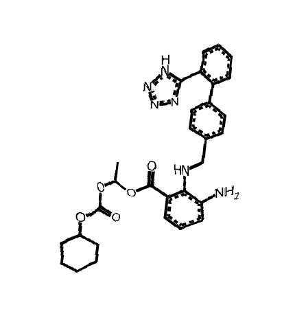 CC(OC(=O)OC1CCCCC1)OC(=O)c1cccc(N)c1NCc1ccc(-c2ccccc2-c2nnn[nH]2)cc1